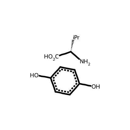 CC(C)[C@H](N)C(=O)O.Oc1ccc(O)cc1